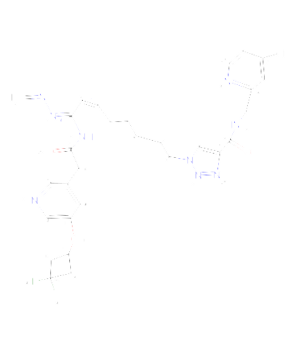 C=N/N=C(\C=C/CCCCCn1cc(C(=O)NCc2cc(C(F)(F)F)ccn2)nn1)NC(=O)Cc1cncc(OC2CC(F)(F)C2)c1